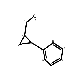 OCC1CC1c1ccccc1